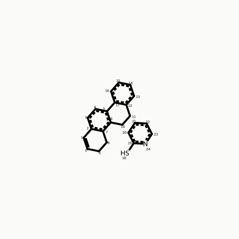 C1=Cc2ccc3c(c2CC1)CCc1ccccc1-3.Sc1ccccn1